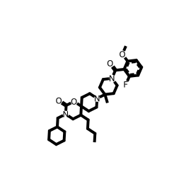 CCCCC1CN(CC2CCCCC2)C(=O)OC12CCN(C1(C)CCN(C(=O)c3c(F)cccc3OC)CC1)CC2